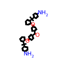 CC(C)(c1ccc(N)cc1)c1ccccc1Oc1ccc(C(=O)c2ccc(Oc3ccccc3C(C)(C)c3ccc(N)cc3)cc2)cc1